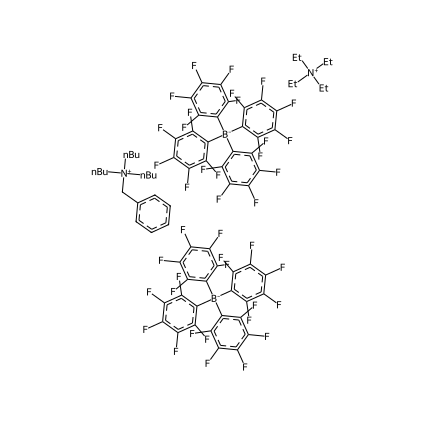 CCCC[N+](CCCC)(CCCC)Cc1ccccc1.CC[N+](CC)(CC)CC.Fc1c(F)c(F)c([B-](c2c(F)c(F)c(F)c(F)c2F)(c2c(F)c(F)c(F)c(F)c2F)c2c(F)c(F)c(F)c(F)c2F)c(F)c1F.Fc1c(F)c(F)c([B-](c2c(F)c(F)c(F)c(F)c2F)(c2c(F)c(F)c(F)c(F)c2F)c2c(F)c(F)c(F)c(F)c2F)c(F)c1F